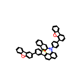 c1ccc2cc(N(c3ccc(-c4cccc5c4oc4ccccc45)cc3)c3cccc4ccc5c6cc(-c7ccc8oc9ccccc9c8c7)ccc6sc5c34)ccc2c1